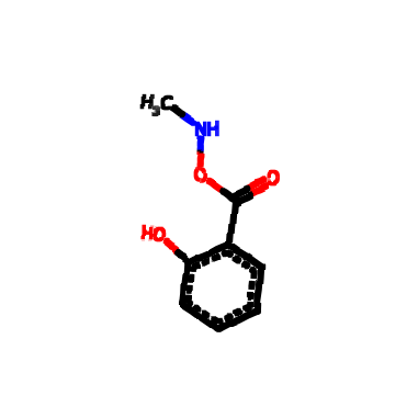 CNOC(=O)c1ccccc1O